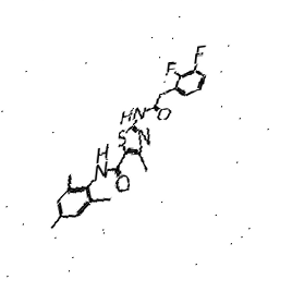 Cc1cc(C)c(NC(=O)c2sc(NC(=O)Cc3cccc(F)c3F)nc2C)c(C)c1